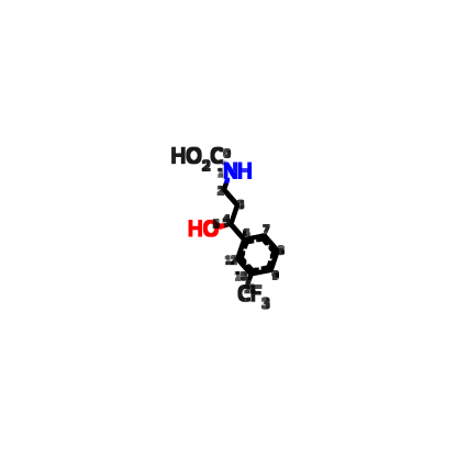 O=C(O)NCC[C@H](O)c1cccc(C(F)(F)F)c1